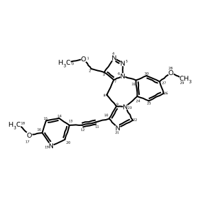 COCc1nnn2c1Cc1c(C#Cc3ccc(OC)nc3)ncn1-c1ccc(OC)cc1-2